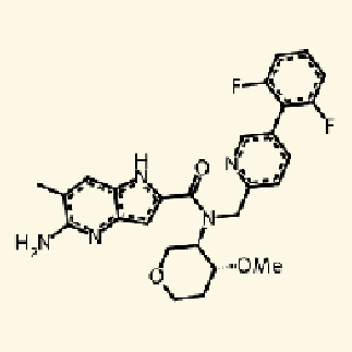 CO[C@@H]1CCOC[C@H]1N(Cc1ccc(-c2c(F)cccc2F)cn1)C(=O)c1cc2nc(N)c(C)cc2[nH]1